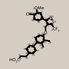 COc1cc(-c2nsc(C(F)(F)F)c2COc2ccc(-c3ccc(CCC(=O)O)cc3)c(C)c2C)ccc1Cl